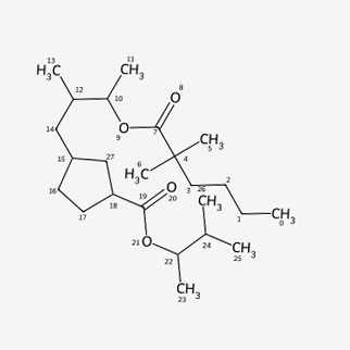 CCCCC(C)(C)C(=O)OC(C)C(C)CC1CCC(C(=O)OC(C)C(C)C)C1